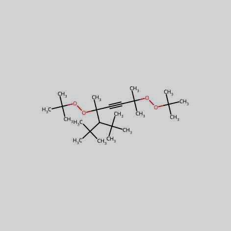 CC(C)(C)OOC(C)(C)C#CC(C)(OOC(C)(C)C)C(C(C)(C)C)C(C)(C)C